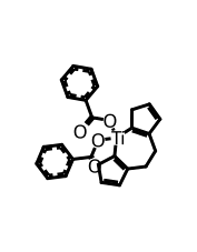 O=C([O][Ti]1([O]C(=O)c2ccccc2)[C]2=C(C=CC2)CCC2=[C]1CC=C2)c1ccccc1